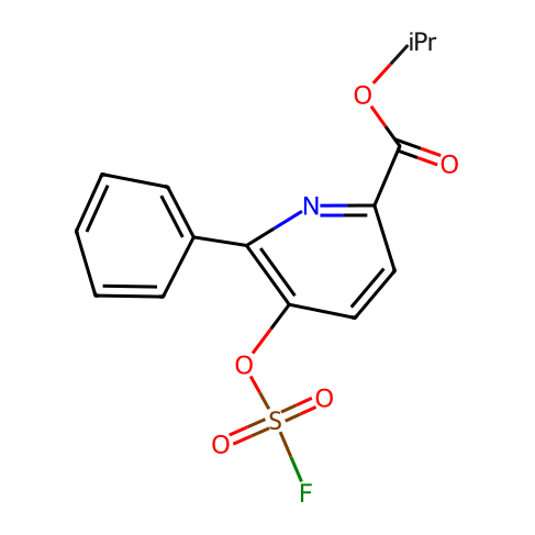 CC(C)OC(=O)c1ccc(OS(=O)(=O)F)c(-c2ccccc2)n1